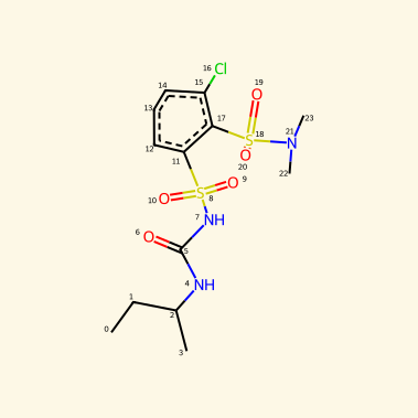 CCC(C)NC(=O)NS(=O)(=O)c1cccc(Cl)c1S(=O)(=O)N(C)C